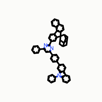 c1ccc(-c2cc(-c3ccc(-c4ccc5c6ccccc6n(-c6ccccc6)c5c4)cc3)nc(-c3ccc4c(c3)C3(c5ccc6ccccc6c5-4)C4CC5CC(C4)CC3C5)n2)cc1